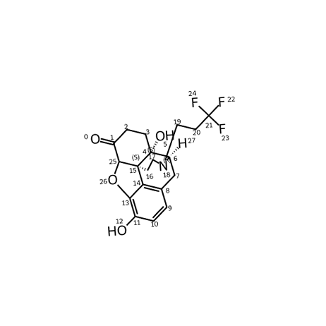 O=C1CC[C@@]2(O)[C@H]3Cc4ccc(O)c5c4[C@@]2(CCN3CCC(F)(F)F)C1O5